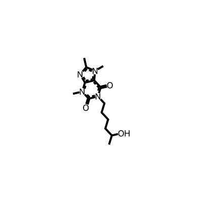 Cc1nc2c(c(=O)n(CCCCC(C)O)c(=O)n2C)n1C